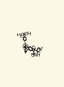 CNC(=O)c1c(-c2ccc(F)cc2)oc2cc(N(CCc3ccc(B(O)O)c(F)c3)S(C)(=O)=O)c(C3CC3)cc12